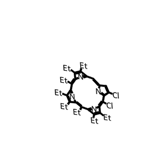 CCC1=C(CC)C2=C(CC)C3=NC(=C(CC)C4=NC(=C(Cl)C5=NC(=CC1=N2)C=C5Cl)C(CC)=C4CC)C(CC)=C3CC